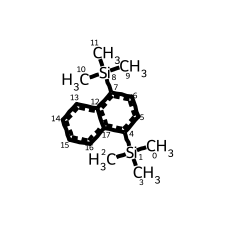 C[Si](C)(C)c1ccc([Si](C)(C)C)c2ccccc12